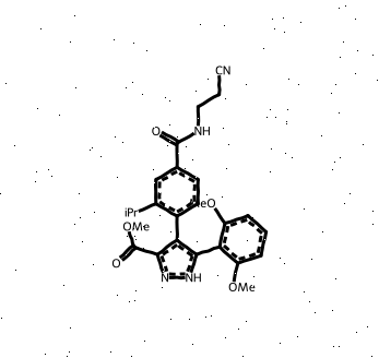 COC(=O)c1n[nH]c(-c2c(OC)cccc2OC)c1-c1ccc(C(=O)NCCC#N)cc1C(C)C